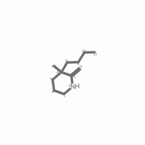 C=C1NCCCC1(C)CCCC